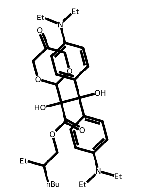 CCCCC(CC)COC(=O)C(O)(C1OCC(=O)CO1)C(O)(c1ccc(N(CC)CC)cc1)c1ccc(N(CC)CC)cc1